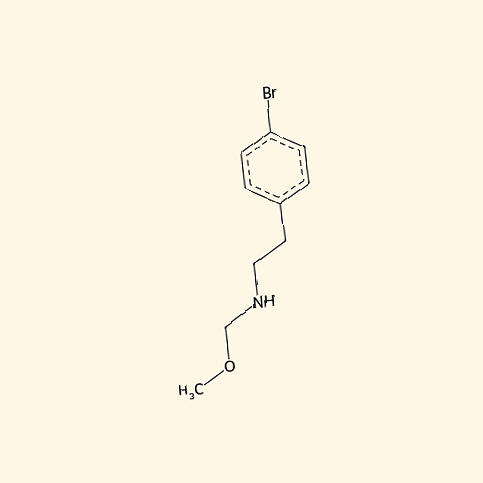 COCNCCc1ccc(Br)cc1